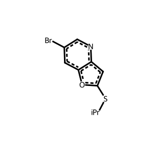 CC(C)Sc1cc2ncc(Br)cc2o1